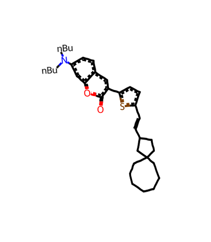 CCCCN(CCCC)c1ccc2cc(-c3ccc(/C=C/C4CCC5(CCCCCCC5)C4)s3)c(=O)oc2c1